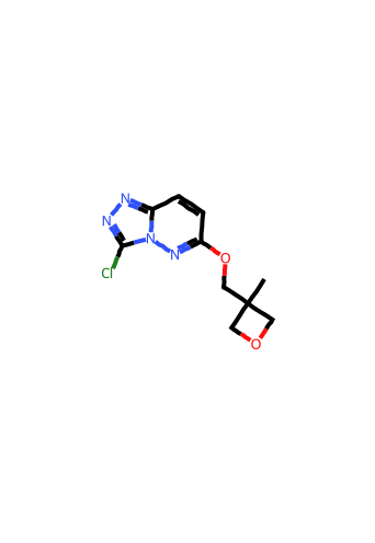 CC1(COc2ccc3nnc(Cl)n3n2)COC1